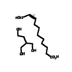 CCCCCCCC/C=C\CCCCCCCC(=O)O.OCCC(CO)CO